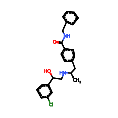 C[C@H](Cc1ccc(C(=O)NCc2ccccc2)cc1)NC[C@H](O)c1cccc(Cl)c1